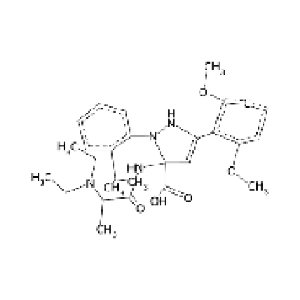 CCN(CC)C(C)C(=O)NC1(C(=O)O)C=C(c2c(OC)cccc2OC)NN1c1ccccc1C(C)C